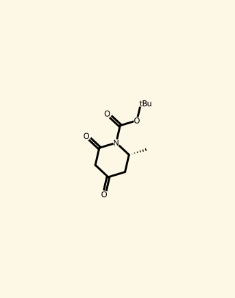 C[C@@H]1CC(=O)CC(=O)N1C(=O)OC(C)(C)C